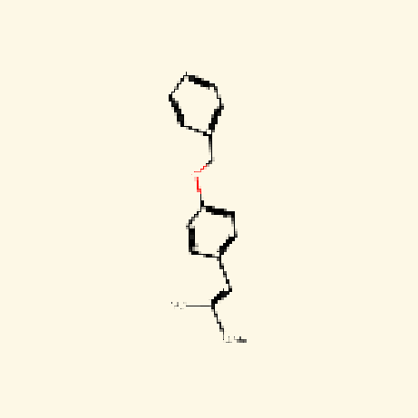 COC(C#N)=Cc1ccc(OCc2ccccc2)cc1